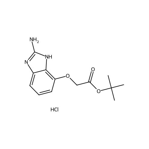 CC(C)(C)OC(=O)COc1cccc2nc(N)[nH]c12.Cl